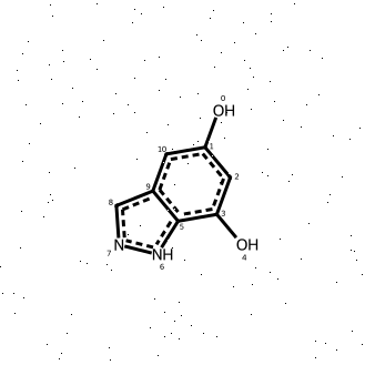 Oc1cc(O)c2[nH]ncc2c1